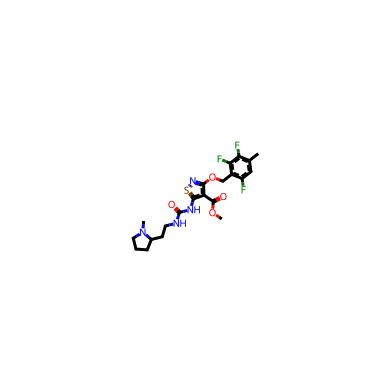 COC(=O)c1c(OCc2c(F)cc(C)c(F)c2F)nsc1NC(=O)NCCC1CCCN1C